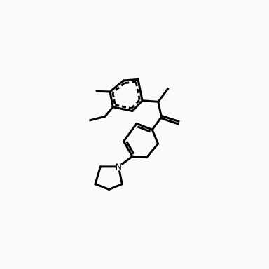 C=C(C1=CC=C(N2CCCC2)CC1)C(C)c1ccc(C)c(CC)c1